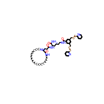 NC(=O)C(CCCCNC(=O)c1cc(CSSc2ccccn2)cc(CSSc2ccccn2)c1)NC(=O)CCC1NCCCCCCCCCCCCCCCCNC1=O